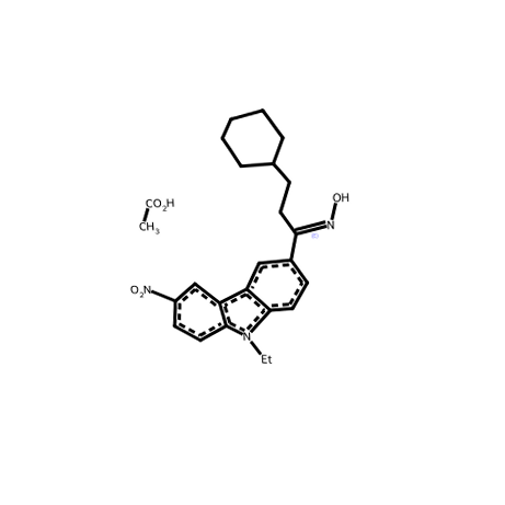 CC(=O)O.CCn1c2ccc(/C(CCC3CCCCC3)=N/O)cc2c2cc([N+](=O)[O-])ccc21